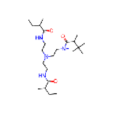 CCC(C)C(=O)NCCN(CCNC(=O)C(C)CC)CCNC(=O)C(C)C(C)(C)C